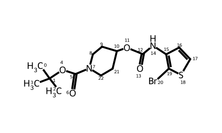 CC(C)(C)OC(=O)N1CCC(OC(=O)Nc2ccsc2Br)CC1